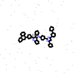 CC1(c2nc3ccccc3c3c2c2ccccc2n3-c2ccc(-c3nc(-c4ccccc4)cc(-c4cccc(-c5ccccc5)c4)n3)cc2)C=CC(c2cc3ccccc3c3ccccc23)=CC1